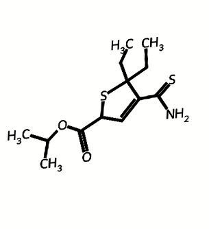 CCC1(CC)SC(C(=O)OC(C)C)C=C1C(N)=S